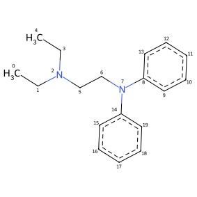 CCN(CC)CCN(c1ccccc1)c1ccccc1